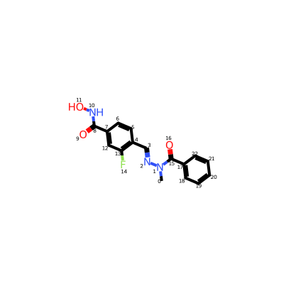 CN(N=Cc1ccc(C(=O)NO)cc1F)C(=O)c1ccccc1